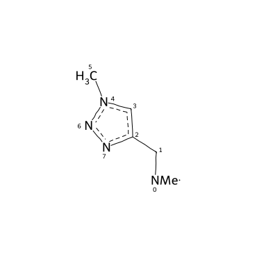 C[N]Cc1cn(C)nn1